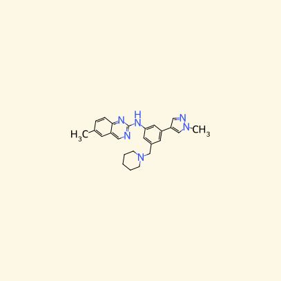 Cc1ccc2nc(Nc3cc(CN4CCCCC4)cc(-c4cnn(C)c4)c3)ncc2c1